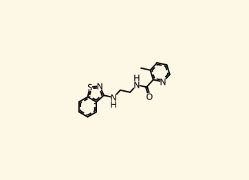 Cc1cccnc1C(=O)NCCNc1nsc2ccccc12